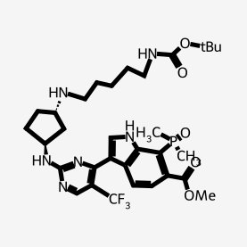 COC(=O)c1ccc2c(-c3nc(N[C@H]4CC[C@H](NCCCCCNC(=O)OC(C)(C)C)C4)ncc3C(F)(F)F)c[nH]c2c1P(C)(C)=O